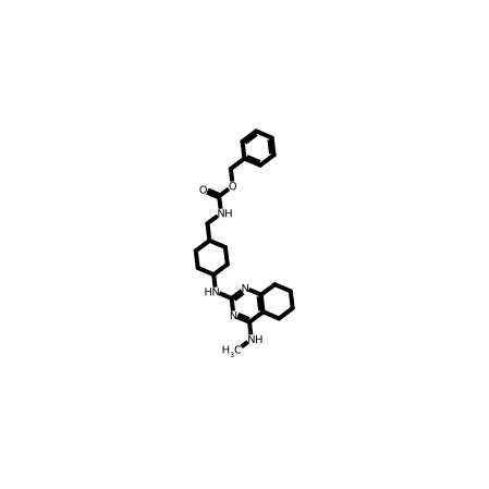 CNc1nc(NC2CCC(CNC(=O)OCc3ccccc3)CC2)nc2c1CCCC2